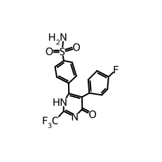 NS(=O)(=O)c1ccc(-c2[nH]c(C(F)(F)F)nc(=O)c2-c2ccc(F)cc2)cc1